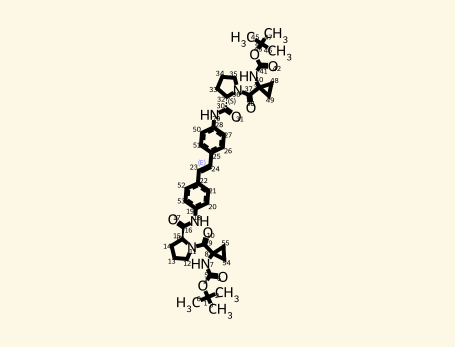 CC(C)(C)OC(=O)NC1(C(=O)N2CCC[C@H]2C(=O)Nc2ccc(/C=C/c3ccc(NC(=O)[C@@H]4CCCN4C(=O)C4(NC(=O)OC(C)(C)C)CC4)cc3)cc2)CC1